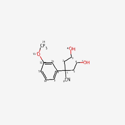 N#CC(CCO)(CCO)c1cccc(OC(F)(F)F)c1